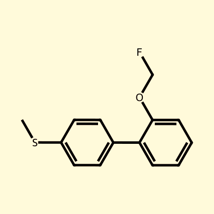 CSc1ccc(-c2ccccc2OCF)cc1